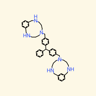 c1ccc(C(c2ccc(CN3CCCNCc4cccc(c4)CNCCC3)cc2)c2ccc(CN3CCCNCc4cccc(c4)CNCCC3)cc2)cc1